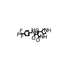 O=C(Nc1ccc(C(F)(F)F)cc1)C1=C(O)C2CNCC2NC1=O